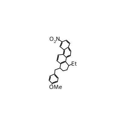 CCC1CCC(Cc2ccc(OC)cc2)c2ccc3c(ccc4ccc([N+](=O)[O-])cc43)c21